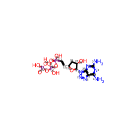 Nc1nc(N)c2nnn([C@@H]3O[C@H](/C=C/P(=O)(O)OP(=O)(O)OP(=O)(O)O)C[C@H]3O)c2n1